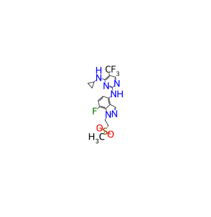 CS(=O)(=O)CCn1ncc2c(Nc3ncc(C(F)(F)F)c(NC4CC4)n3)ccc(F)c21